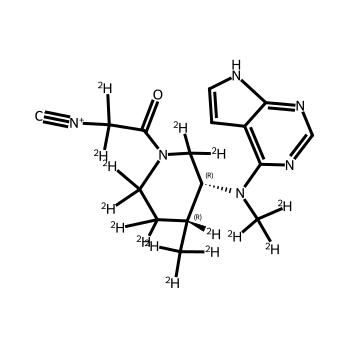 [2H]C([2H])([N+]#[C-])C(=O)N1C([2H])([2H])[C@H](N(c2ncnc3[nH]ccc23)C([2H])([2H])[2H])[C@]([2H])(C([2H])([2H])[2H])C([2H])([2H])C1([2H])[2H]